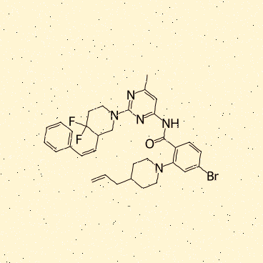 C=CCC1CCN(c2cc(Br)ccc2C(=O)Nc2cc(C)nc(N3CCC(F)(F)C(C=Cc4ccccc4)C3)n2)CC1